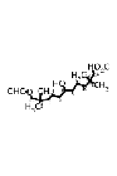 CC(C)(CCCC(O)CCCC(C)(C)CC(=O)O)COC=O